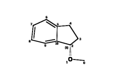 CO[C@H]1CCc2ccccc21